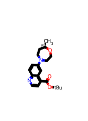 C[C@@H]1CCN(c2ccc3nccc(C(=O)OC(C)(C)C)c3c2)CCO1